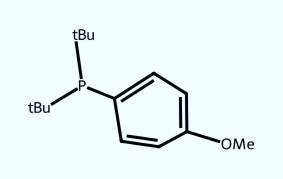 COc1ccc(P(C(C)(C)C)C(C)(C)C)cc1